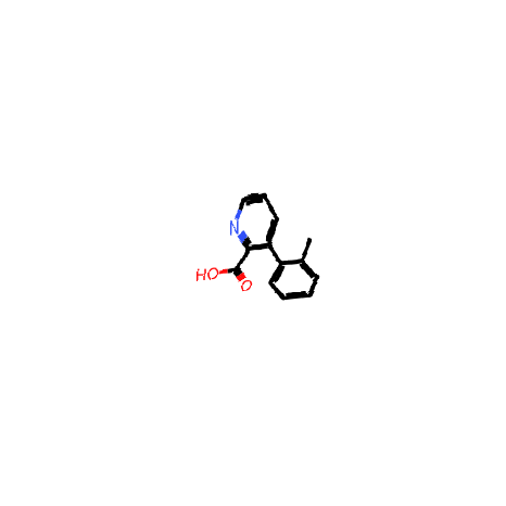 Cc1ccccc1-c1cccnc1C(=O)O